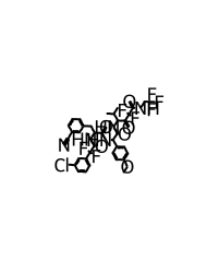 COc1ccc(C(NC(=O)C(Cc2cccc(C#N)c2)NC(=O)C(F)(F)c2cccc(Cl)c2)C(=O)NC(C(=O)C(F)(F)C(=O)NCC(F)(F)F)C(C)C)cc1